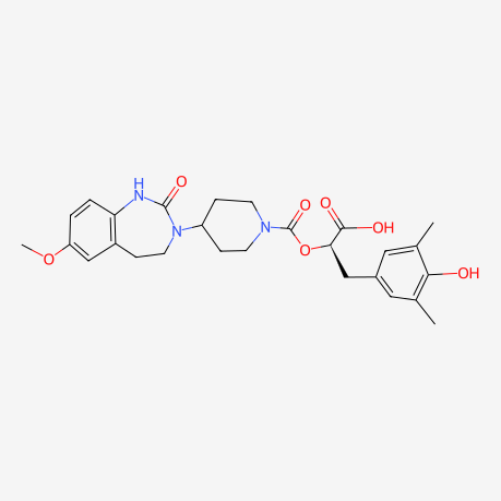 COc1ccc2c(c1)CCN(C1CCN(C(=O)O[C@H](Cc3cc(C)c(O)c(C)c3)C(=O)O)CC1)C(=O)N2